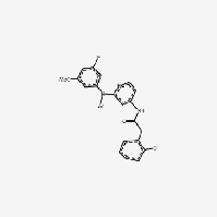 COc1cc(F)cc(N(C(C)=O)c2cc(NC(=O)Cc3ccccc3Cl)ccn2)c1